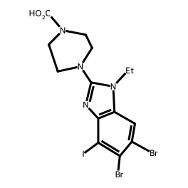 CCn1c(N2CCN(C(=O)O)CC2)nc2c(I)c(Br)c(Br)cc21